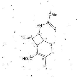 COC(=O)NC1C(=O)N2C(C(=O)O)=C(C)CSC12